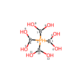 OB(O)[PH](B(O)O)(B(O)O)B(O)O